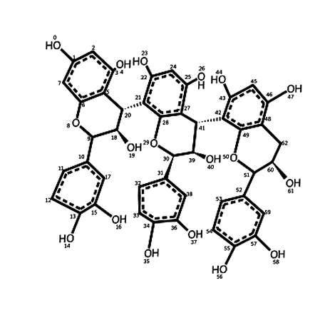 Oc1cc(O)c2c(c1)OC(c1ccc(O)c(O)c1)[C@H](O)[C@H]2c1c(O)cc(O)c2c1O[C@H](c1ccc(O)c(O)c1)[C@H](O)[C@H]2c1c(O)cc(O)c2c1OC(c1ccc(O)c(O)c1)[C@H](O)C2